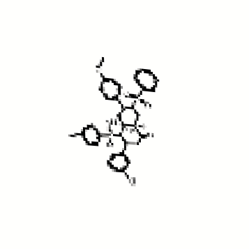 COc1ccc(C2C[C@@H]3C(S(=O)(=O)c4ccc(C)cc4)C(c4cccc(Cl)c4)CC(=O)[C@@H]3CC2S(=O)(=O)c2ccccc2)cc1